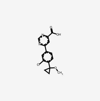 COC1(c2ccc(-c3cc(C(=O)O)ncn3)cc2Cl)CC1